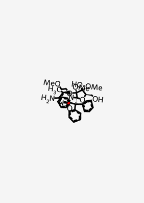 COCCO[C@]1(OC)[C@@](O)(OC)[C@@H](CO)O[C@]1(n1cc(C)c(N)nc1=O)C(c1ccccc1)(c1ccccc1)c1ccccc1